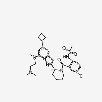 CN(C)CCN(C)c1cc(N2CCC2)nc2cc([C@@H]3CCCCN3C(=O)c3cc(Cl)ccc3NS(C)(=O)=O)nn12